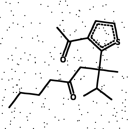 CCCCC(=O)CC(C)(c1sccc1C(C)=O)C(C)C